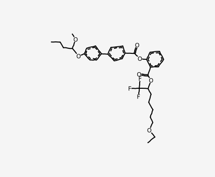 CCCC(OC)Oc1ccc(-c2ccc(C(=O)Oc3ccccc3C(=O)OC(CCCCCOCC)C(F)(F)F)cc2)cc1